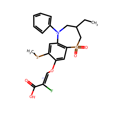 CCC1CN(c2ccccc2)c2cc(SC)c(O/C=C(\F)C(=O)O)cc2S(=O)(=O)C1